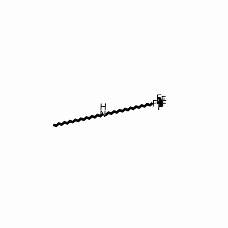 CCCCCCCCCCCCCCCCCCNCCCCCCCCCCCCCCCCCC.FC1C(F)(F)C1(F)F